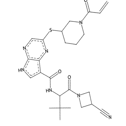 C=CC(=O)N1CCCC(Sc2cnc3[nH]cc(C(=O)NC(C(=O)N4CC(C#N)C4)C(C)(C)C)c3n2)C1